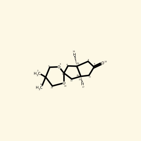 CC1(C)COC2(C[C@H]3CC(=O)C[C@H]3C2)OC1